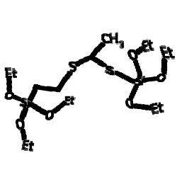 CCO[Si](CCSC(C)S[Si](OCC)(OCC)OCC)(OCC)OCC